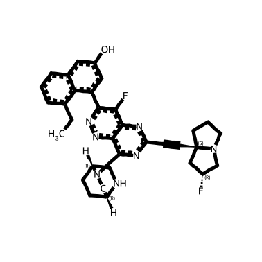 CCc1cccc2cc(O)cc(-c3nnc4c(N5C[C@H]6CC[C@@H]5CN6)nc(C#C[C@@]56CCCN5C[C@H](F)C6)nc4c3F)c12